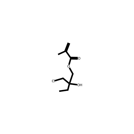 C=C(C)C(=O)OCC(O)(CC)CCl